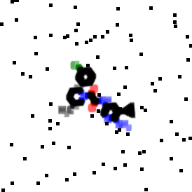 C[C@H]1CC[C@H](c2cccc(Cl)c2)N(C(=O)C(=O)Nc2cnc(N)c(C3CC3)c2)C1